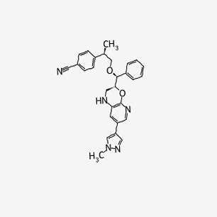 C[C@@H](CO[C@@H](c1ccccc1)[C@@H]1CNc2cc(-c3cnn(C)c3)cnc2O1)c1ccc(C#N)cc1